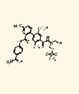 COc1ccc(-c2cc(C)c(C(=O)N[C@H](COS(C)(=O)=O)CC(C)C)cc2C(=O)O)c(C(=O)Nc2ccc(C(=N)N)cc2)n1